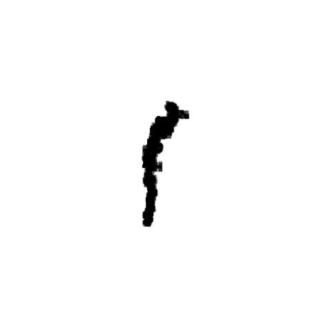 C#CCOCCOCCOCCOCCN1CCN(CCCNc2cc(CNC(=O)c3ncn(-c4ncc(OC)c5c(C(=O)C(=O)N6CCC(=C(C#N)c7ccccc7)CC6)c[nH]c45)n3)ncn2)CC1